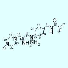 C=C(C)C(=O)NCc1ccc(N(N)/C=C(\N)CN2CCN(C)CC2)cc1